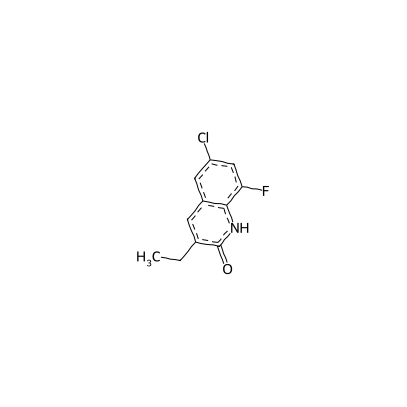 CCc1cc2cc(Cl)cc(F)c2[nH]c1=O